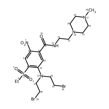 CCS(=O)(=O)c1cc([N+](=O)[O-])c(C(=O)NCCN2CCN(C)CC2)cc1N(CCBr)CCBr